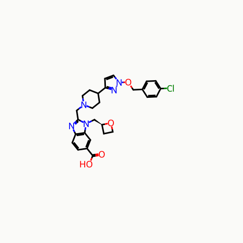 O=C(O)c1ccc2nc(CN3CCC(c4ccn(OCc5ccc(Cl)cc5)n4)CC3)n(C[C@@H]3CCO3)c2c1